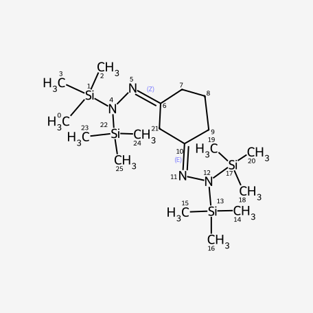 C[Si](C)(C)N(/N=C1/CCC/C(=N\N([Si](C)(C)C)[Si](C)(C)C)C1)[Si](C)(C)C